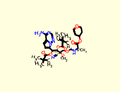 CO[C@](C#N)(COCN[C@@H](C)C(=O)OC1CCOCC1)[C@@H](OC(=O)C(C)(C)C)[C@@H](OC(=O)C(C)(C)C)c1ccc2c(N)ncnn12